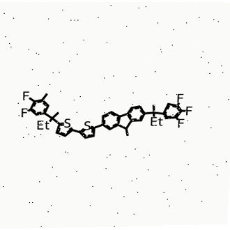 CCC(C)(c1cc(F)c(F)c(F)c1)c1ccc2c(c1)C(C)c1cc(-c3ccc(-c4ccc(C(C)(CC)c5cc(C)c(F)c(F)c5)s4)s3)ccc1-2